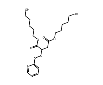 O=C(CC(SSc1ccccn1)C(=O)OCCCCCO)OCCCCCO